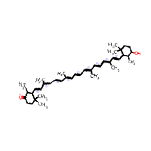 CC(/C=C/C=C(C)/C=C/C1C(C)C(=O)CCC1(C)C)=C\C=C\C=C(C)\C=C\C=C(C)\C=C\C1C(C)C(O)CCC1(C)C